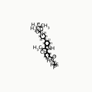 CC(C)c1c(-c2ccnc(C(=O)NCC(F)(F)F)c2)[nH]c2ccc(C3CCN(C(=O)OC(C)(C)C)CC3)cc12